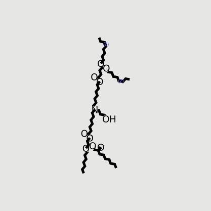 CC/C=C\CCCCOC(CCC(=O)OCCCCCCCN(CCCO)CCCCCCC(=O)OCC(OCCCCCCC)OCC(=O)CCCCCCC)OCCCC/C=C\CC